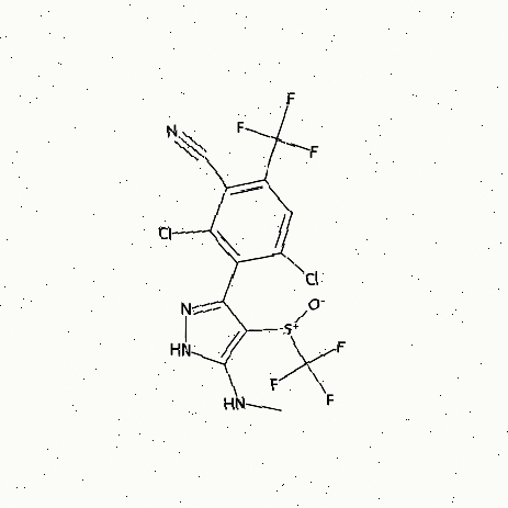 CNc1[nH]nc(-c2c(Cl)cc(C(F)(F)F)c(C#N)c2Cl)c1[S+]([O-])C(F)(F)F